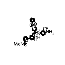 CNC(=O)c1cccc(-c2cccc(CC(O)(C(=O)Nc3ccc(N)c(C(F)(F)F)c3)C3CCN(S(=O)(=O)c4ccccc4)CC3)c2)c1